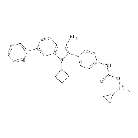 C[C@@H](OC(=O)Nc1ccc(-c2c(N)c3ccc(-c4ccccn4)cc3n2C2CCC2)cc1)C1CC1